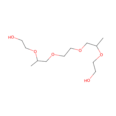 CC(COCCOCC(C)OCCO)OCCO